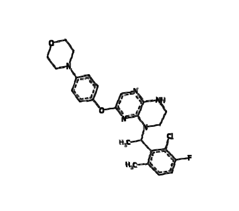 Cc1ccc(F)c(Cl)c1C(C)N1CCNc2ncc(Oc3ccc(N4CCOCC4)cc3)nc21